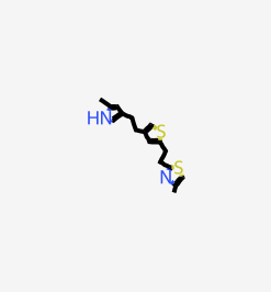 Cc1csc(CCc2cc(CCc3c[nH]c(C)c3)cs2)n1